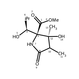 COC(=O)[C@]1([C@@H](O)C(C)C)NC(=O)C(C)[C@]1(C)O